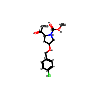 COC(=O)[C@@H]1C[C@H](OCc2ccc(Cl)cc2)CN1C(=O)OC(C)(C)C